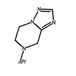 CCCN1CCn2ncnc2C1